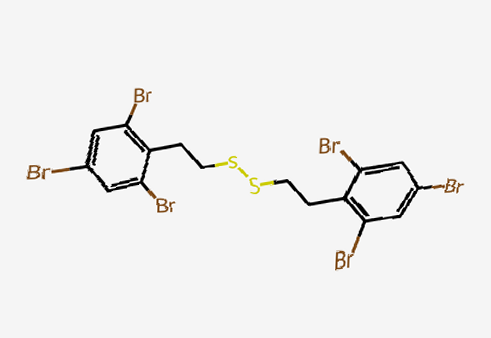 Brc1cc(Br)c(CCSSCCc2c(Br)cc(Br)cc2Br)c(Br)c1